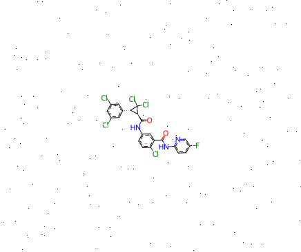 O=C(Nc1ccc(F)cn1)c1cc(NC(=O)[C@H]2[C@H](c3cc(Cl)cc(Cl)c3)C2(Cl)Cl)ccc1Cl